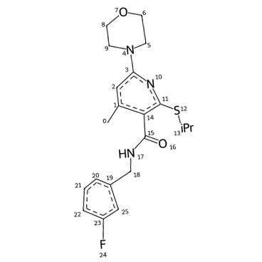 Cc1cc(N2CCOCC2)nc(SC(C)C)c1C(=O)NCc1cccc(F)c1